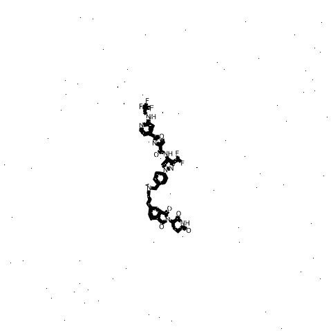 CN(CCCc1ccc2c(c1)C(=O)N(C1CCC(=O)NC1=O)C2=O)Cc1ccc(-n2cc(NC(=O)c3coc(-c4ccnc(NCC(F)(F)F)c4)n3)c(C(F)F)n2)cc1